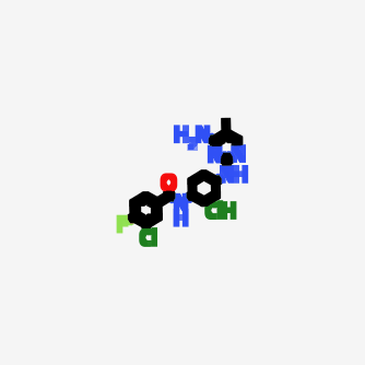 Cc1cnc(NC2CCC(NC(=O)c3ccc(F)c(Cl)c3)CC2)nc1N.Cl